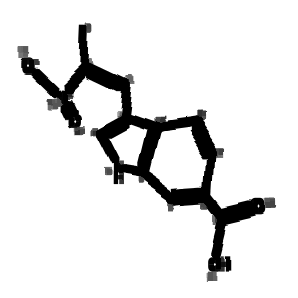 CC(=Cc1c[nH]c2cc(C(=O)O)ccc12)[N+](=O)[O-]